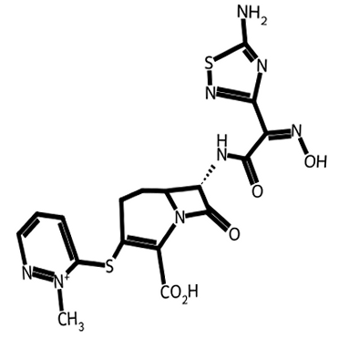 C[n+]1ncccc1SC1=C(C(=O)O)N2C(=O)[C@@H](NC(=O)/C(=N\O)c3nsc(N)n3)C2CC1